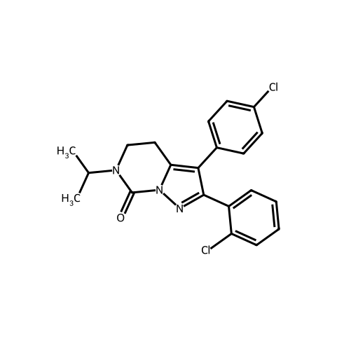 CC(C)N1CCc2c(-c3ccc(Cl)cc3)c(-c3ccccc3Cl)nn2C1=O